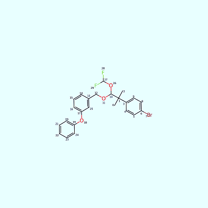 CC(C)(c1ccc(Br)cc1)C(OCc1cccc(Oc2ccccc2)c1)OC(F)F